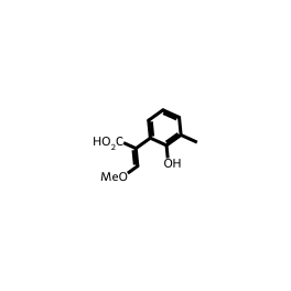 COC=C(C(=O)O)c1cccc(C)c1O